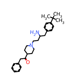 CC(C)(C)c1ccc(CC(N)CCN2CCC(C(=O)Cc3ccccc3)CC2)cc1